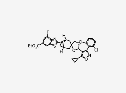 CCOC(=O)c1cc(F)c2nc(N3[C@@H]4CC[C@H]3CC3(COC(c5c(-c6c(Cl)cccc6Cl)noc5C5CC5)O3)C4)sc2c1